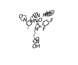 Cc1ccc(Cn2ccnc2NC(=O)[C@@H]2CN(CCCc3cc(O)no3)C[C@H]2c2ccc(F)cc2F)c(N2CCOCC2)c1.Cl.Cl.Cl